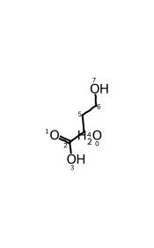 O.O=C(O)CCCO